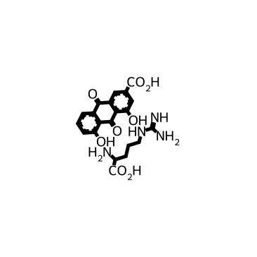 N=C(N)NCCCC(N)C(=O)O.O=C(O)c1cc(O)c2c(c1)C(=O)c1cccc(O)c1C2=O